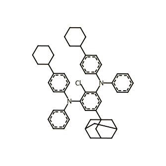 Clc1c(N(c2ccccc2)c2ccc(C3CCCCC3)cc2)cc(C23CC4CC(CC(C4)C2)C3)cc1N(c1ccccc1)c1ccc(C2CCCCC2)cc1